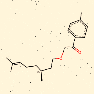 CC(C)=CCC[C@H](C)CCOCC(=O)c1ccc(C)cc1